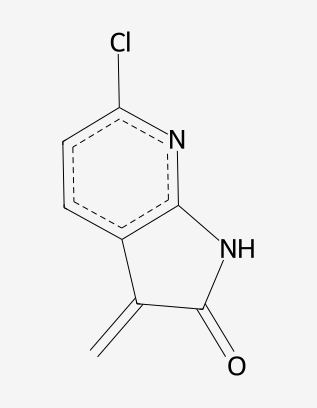 C=C1C(=O)Nc2nc(Cl)ccc21